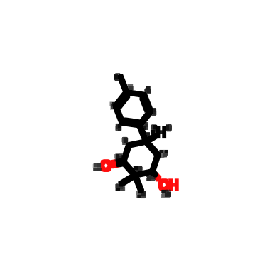 [2H]C1(c2ccc(C)cc2)CC(=O)C(C)(C)C(O)C1